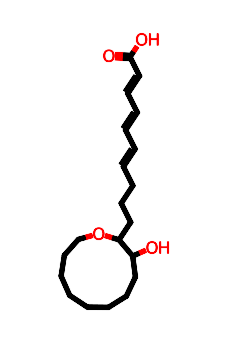 O=C(O)C=CC=CC=CCCCC1OCCCCCCCCC1O